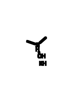 C[SiH](C)O.[KH]